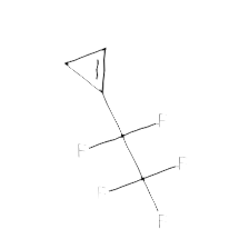 FC(F)(F)C(F)(F)C1=CC1